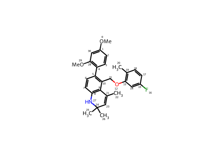 COc1ccc(-c2ccc3c(c2COc2cc(F)ccc2C)C(C)=CC(C)(C)N3)c(OC)c1